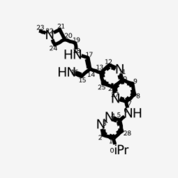 CC(C)c1cnnc(Nc2ccc3ncc(/C(C=N)=C/NCC4CN(C)C4)cc3n2)c1